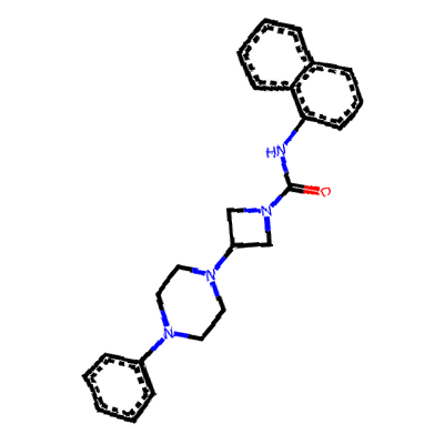 O=C(Nc1cccc2ccccc12)N1CC(N2CCN(c3ccccc3)CC2)C1